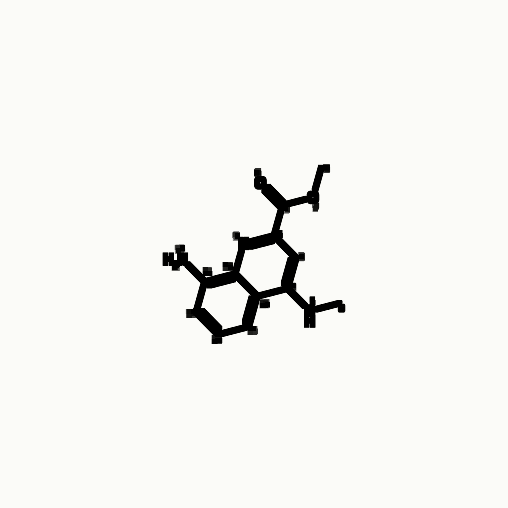 CNc1cc(C(=O)OC)nc2c(N)cccc12